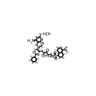 CC(=C(CC(O)C(=O)CCNS(=O)(=O)c1cccc2c(N(C)C)cccc12)SC(=O)c1ccccc1)N(C=O)Cc1cnc(C)nc1N.Cl